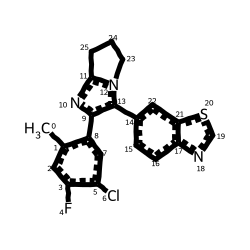 Cc1cc(F)c(Cl)cc1-c1nc2n(c1-c1ccc3ncsc3c1)CCC2